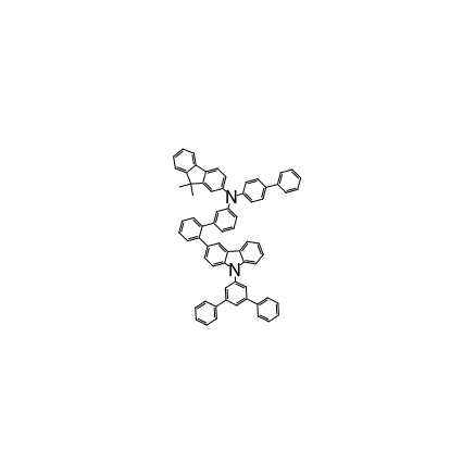 CC1(C)c2ccccc2-c2ccc(N(c3ccc(-c4ccccc4)cc3)c3cccc(-c4ccccc4-c4ccc5c(c4)c4ccccc4n5-c4cc(-c5ccccc5)cc(-c5ccccc5)c4)c3)cc21